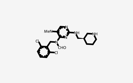 CNc1cnc(NC[C@@H]2CCCNC2)nc1N(C=O)Cc1c(Cl)cccc1Cl